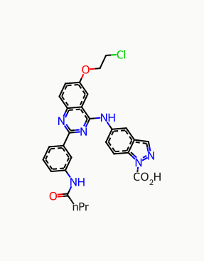 CCCC(=O)Nc1cccc(-c2nc(Nc3ccc4c(cnn4C(=O)O)c3)c3cc(OCCCl)ccc3n2)c1